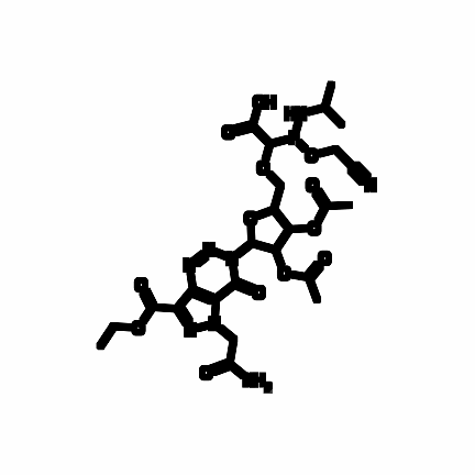 CCOC(=O)c1nn(CC(N)=O)c2c(=O)n(C3OC(COC(C(=O)O)P(NC(C)C)OCC#N)C(OC(C)=O)C3OC(C)=O)nnc12